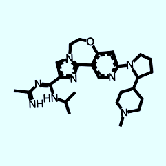 CC(=N)/N=C(\NC(C)C)c1cn2c(n1)-c1cnc(N3CCCC3C3CCN(C)CC3)cc1OCC2